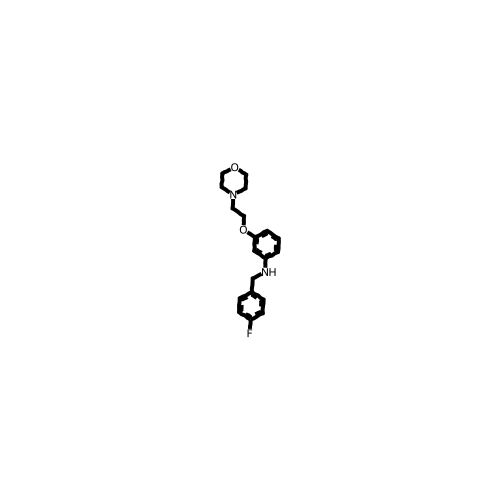 Fc1ccc(CNc2cccc(OCCN3CCOCC3)c2)cc1